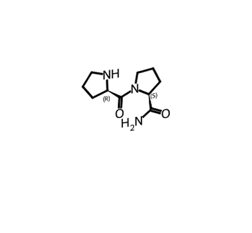 NC(=O)[C@@H]1CCCN1C(=O)[C@H]1CCCN1